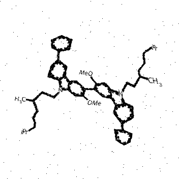 COc1[c]c2c(cc1-c1cc3c4cc(-c5ccccc5)ccc4n(CCC(C)CCCC(C)C)c3[c]c1OC)c1cc(-c3ccccc3)ccc1n2CCC(C)CCCC(C)C